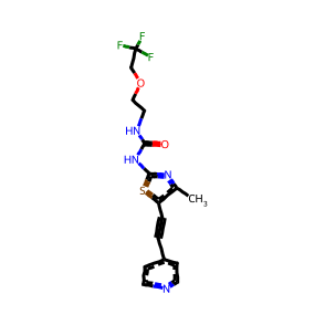 Cc1nc(NC(=O)NCCOCC(F)(F)F)sc1C#Cc1ccncc1